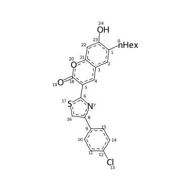 CCCCCCc1cc2cc(-c3nc(-c4ccc(Cl)cc4)cs3)c(=O)oc2cc1O